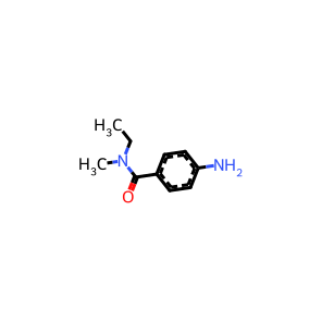 CCN(C)C(=O)c1ccc(N)cc1